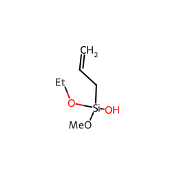 C=CC[Si](O)(OC)OCC